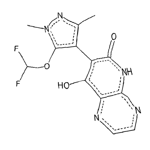 Cc1nn(C)c(OC(F)F)c1-c1c(O)c2nccnc2[nH]c1=O